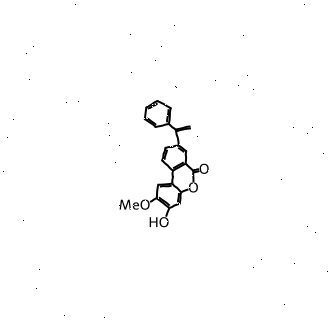 C=C(c1ccccc1)c1ccc2c(c1)c(=O)oc1cc(O)c(OC)cc12